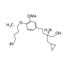 COc1cc(CCC(N)(CO)CC2CC2)ccc1O[C@@H](C)CCCC(C)C